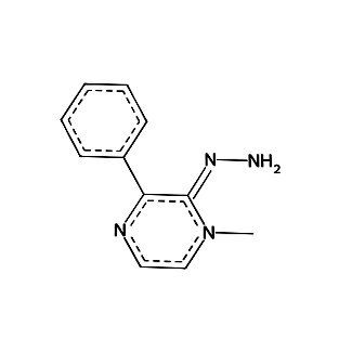 Cn1ccnc(-c2ccccc2)c1=NN